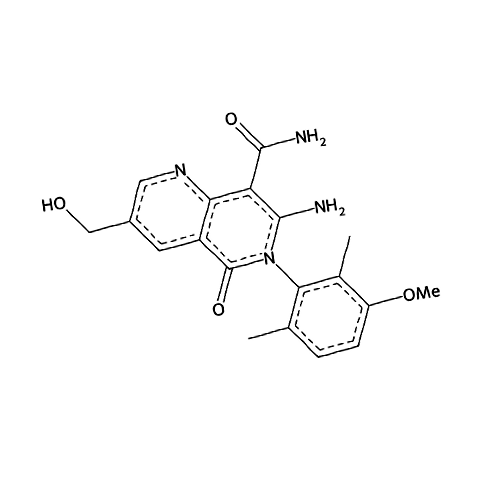 COc1ccc(C)c(-n2c(N)c(C(N)=O)c3ncc(CO)cc3c2=O)c1C